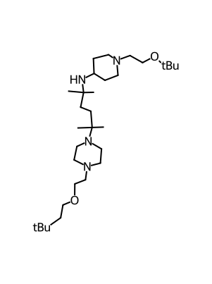 CC(C)(C)CCOCCN1CCN(C(C)(C)CCC(C)(C)NC2CCN(CCOC(C)(C)C)CC2)CC1